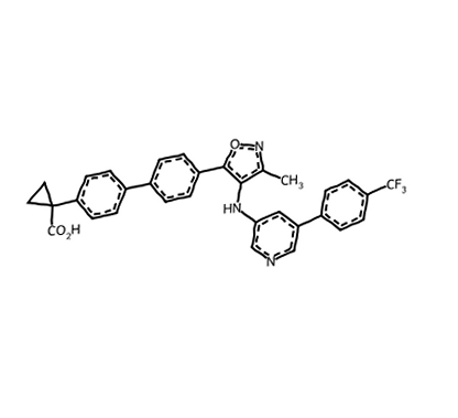 Cc1noc(-c2ccc(-c3ccc(C4(C(=O)O)CC4)cc3)cc2)c1Nc1cncc(-c2ccc(C(F)(F)F)cc2)c1